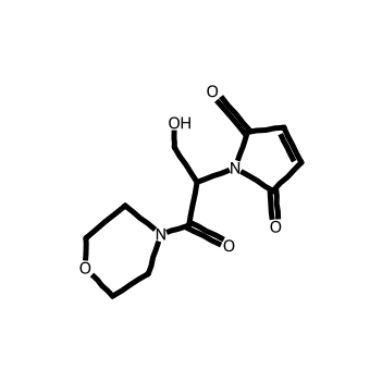 O=C(C(CO)N1C(=O)C=CC1=O)N1CCOCC1